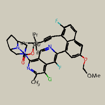 COCOc1cc(-c2ncc3c(N4CC5CCC(C4)N5C(=O)OC(C)(C)C)nc(C)c(Cl)c3c2F)c2c(C#C[Si](C(C)C)(C(C)C)C(C)C)c(F)ccc2c1